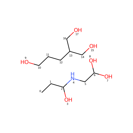 CCC(O)NCC(O)O.OCCCC(CO)CO